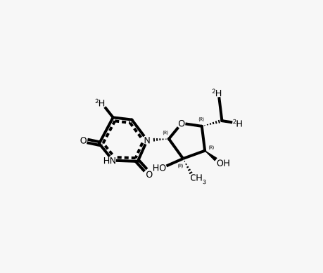 [2H]c1cn([C@@H]2O[C@H](C([2H])[2H])[C@@H](O)[C@@]2(C)O)c(=O)[nH]c1=O